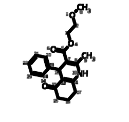 COCCOC(=O)C1=C(C)NC2=C(C(=O)CCC2)C1c1ccccc1